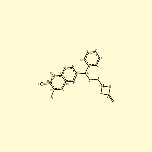 C=C1CN(CCC(c2ccccc2)c2ccc3[nH]c(=O)c(C)cc3c2)C1